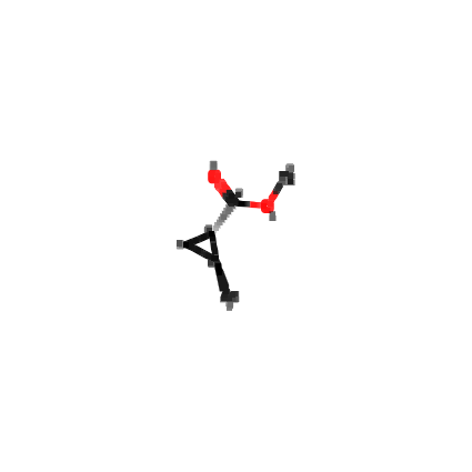 CCOC(=O)[C@H]1C[C@@H]1C(C)=O